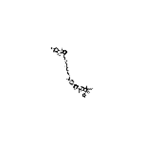 CC(=O)c1c(C)c2cnc(Nc3ccc(N4CCN(C(=O)COCCOCCOCCOCCSc5cccc6c5C(=O)N(C5CCC(=O)NC5=O)C6=O)CC4)cn3)nc2n(C2CCCC2)c1=O